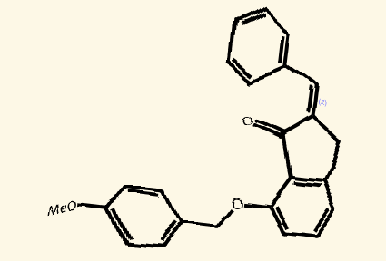 COc1ccc(COc2cccc3c2C(=O)/C(=C\c2ccccc2)C3)cc1